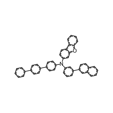 c1ccc(-c2ccc(-c3ccc(N(c4cccc(-c5ccc6ccccc6c5)c4)c4ccc5c(c4)oc4ccccc45)cc3)cc2)cc1